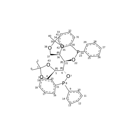 CC1(C)OC[C@H]([C@@H](OP(c2ccccc2)c2ccccc2)[C@H](OP(c2ccccc2)c2ccccc2)[C@H]2COC(C)(C)O2)O1